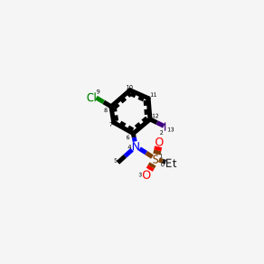 CCS(=O)(=O)N(C)c1cc(Cl)ccc1I